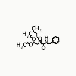 CCCCON(CC(OCC)OCC)C(=O)NCc1ccccc1